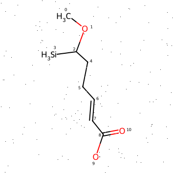 COC([SiH3])CCC=CC([O])=O